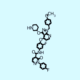 COc1ccc(Cn2nc(OC3CCCNC3)c3c(Oc4ccc(NC(=O)c5ccnn(-c6ccc(F)cc6)c5=O)cc4F)ccnc32)cc1